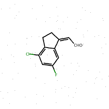 O=[C]/C=C1/CCc2c(Cl)cc(F)cc21